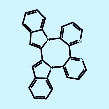 c1ccc2c(c1)cc1c3cc4ccccc4n3c3cccnc3c3ncccc3n21